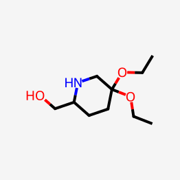 CCOC1(OCC)CCC(CO)NC1